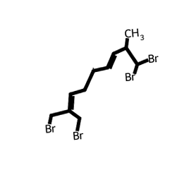 CC(C=C[CH]CC=C(CBr)CBr)C(Br)Br